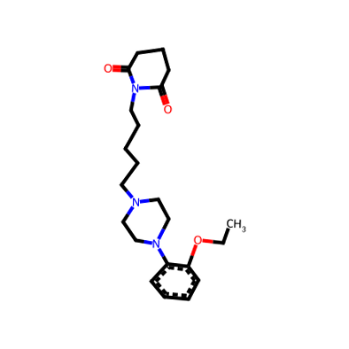 CCOc1ccccc1N1CCN(CCCCCN2C(=O)CCCC2=O)CC1